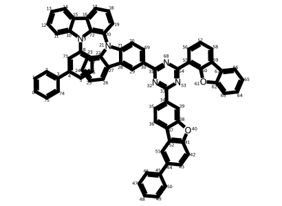 c1ccc(-c2cccc(-n3c4ccccc4c4cccc(-n5c6ccccc6c6cc(-c7nc(-c8ccc9c(c8)oc8ccc(-c%10ccccc%10)cc89)nc(-c8cccc9c8oc8ccccc89)n7)ccc65)c43)c2)cc1